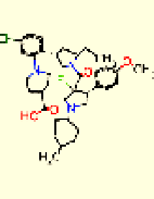 CC[C@@H]1C[C@@H](c2ccc(Cl)cc2N2CCC(C(=O)O)CC2)CN1C(=O)[C@]1(F)CN([C@H]2CC[C@H](C)CC2)C[C@H]1c1ccc(OC)cc1